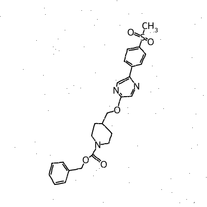 CS(=O)(=O)c1ccc(-c2cnc(OCC3CCN(C(=O)OCc4ccccc4)CC3)cn2)cc1